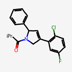 CC(C)C(=O)N1CC(c2cc(F)ccc2Cl)=CC1c1ccccc1